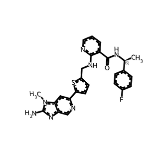 C[C@H](NC(=O)c1cccnc1NCc1ccc(-c2cc3c(cn2)nc(N)n3C)s1)c1ccc(F)cc1